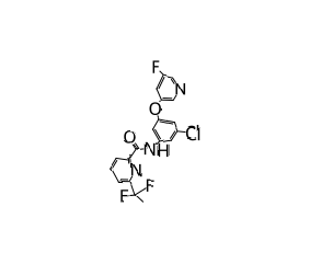 CC(F)(F)c1cccc(C(=O)Nc2cc(Cl)cc(Oc3cncc(F)c3)c2)n1